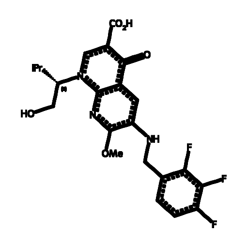 COc1nc2c(cc1NCc1ccc(F)c(F)c1F)c(=O)c(C(=O)O)cn2[C@H](CO)C(C)C